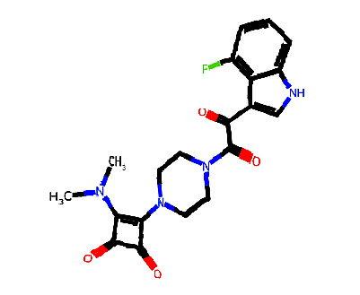 CN(C)c1c(N2CCN(C(=O)C(=O)c3c[nH]c4cccc(F)c34)CC2)c(=O)c1=O